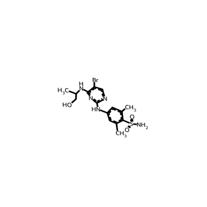 Cc1cc(Nc2ncc(Br)c(NC(C)CO)n2)cc(C)c1S(N)(=O)=O